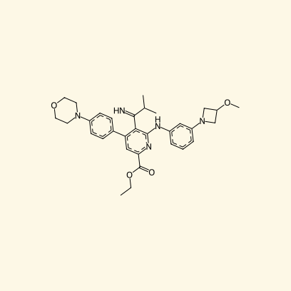 CCOC(=O)c1cc(-c2ccc(N3CCOCC3)cc2)c(C(=N)C(C)C)c(Nc2cccc(N3CC(OC)C3)c2)n1